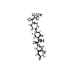 COC(=O)C(=O)N1CCC(c2ccc(NC(=O)N3Cc4cc(F)cnc4C3)cc2)CC1